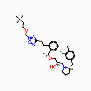 Cc1ccc(C[C@@H]2CCCN2C[C@@H](O)CO[C@H](C)c2ccccc2CCc2nnn(COCC[Si](C)(C)C)n2)cc1F